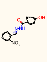 O=C(N/N=C/c1ccccc1[N+](=O)[O-])c1ccc(O)cc1